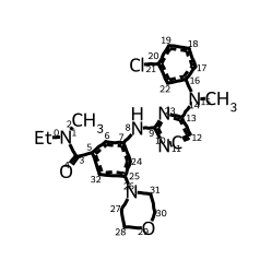 CCN(C)C(=O)c1cc(Nc2nccc(N(C)c3cccc(Cl)c3)n2)cc(N2CCOCC2)c1